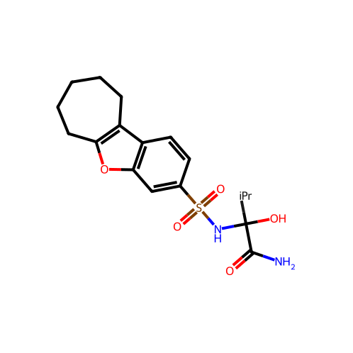 CC(C)C(O)(NS(=O)(=O)c1ccc2c3c(oc2c1)CCCCC3)C(N)=O